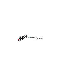 CCCCCCCCCCCCCCCCCCOc1ccc(-[n+]2ccc3ccccc3c2)cc1